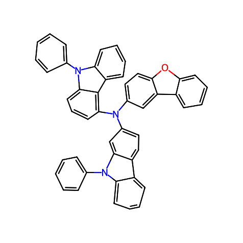 c1ccc(-n2c3ccccc3c3ccc(N(c4ccc5oc6ccccc6c5c4)c4cccc5c4c4ccccc4n5-c4ccccc4)cc32)cc1